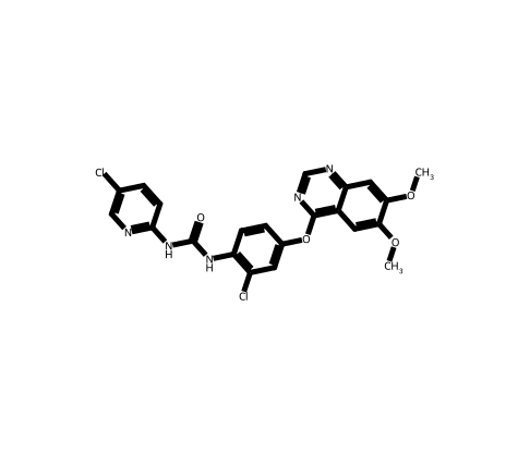 COc1cc2ncnc(Oc3ccc(NC(=O)Nc4ccc(Cl)cn4)c(Cl)c3)c2cc1OC